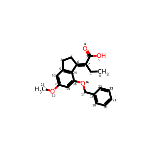 CCC(C(=O)O)=C1CCc2cc(OC)cc(OCc3ccccc3)c21